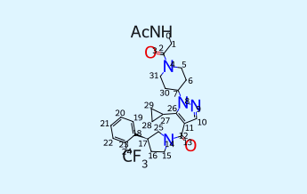 CC(=O)NCC(=O)N1CCC(n2ncc(C(=O)N3CC[C@@H](c4ccccc4C(F)(F)F)C3)c2C2CC2)CC1